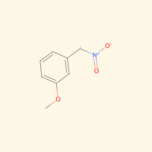 COc1cccc([CH][N+](=O)[O-])c1